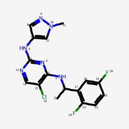 [CH2][C](Nc1nc(Nc2cnn(C)c2)ncc1Cl)c1cc(F)ccc1F